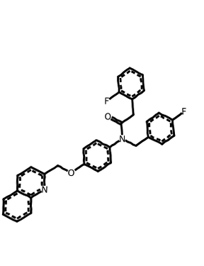 O=C(Cc1ccccc1F)N(Cc1ccc(F)cc1)c1ccc(OCc2ccc3ccccc3n2)cc1